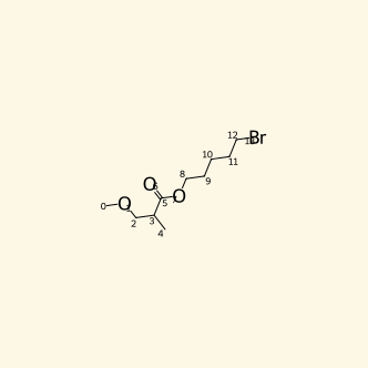 COCC(C)C(=O)OCCCCCBr